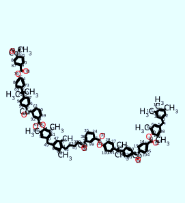 Cc1cc(Cc2cc(C)c(OC(=O)c3cc[c]([Co](=[O])[c]4ccc(C(C)(C)c5ccc(OC(=O)c6ccc[c]([Co](=[O])[CH2]CCCc7c(C)cc(Cc8cc(C)c(OC(=O)c9ccc[c]([Co](=[O])[c]%10ccc(C(C)(C)c%11ccc(OC(=O)c%12cc[c]([Co]([CH3])=[O])cc%12)cc%11)cc%10)c9)c(C)c8)cc7C)c6)cc5)cc4)cc3)c(C)c2)cc(C)c1C